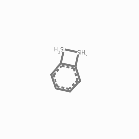 c1ccc2c(c1)[SiH2][SiH2]2